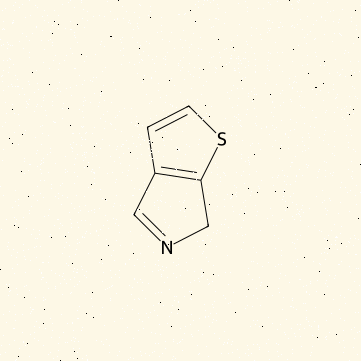 C1=NCc2sccc21